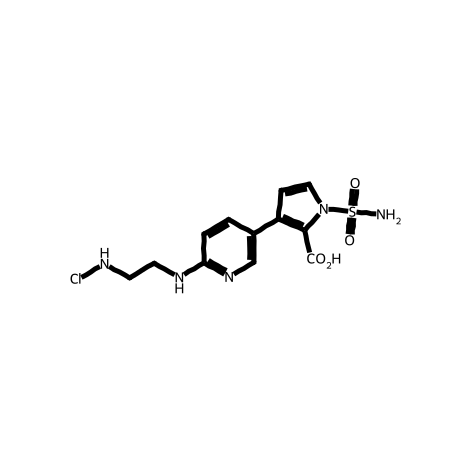 NS(=O)(=O)n1ccc(-c2ccc(NCCNCl)nc2)c1C(=O)O